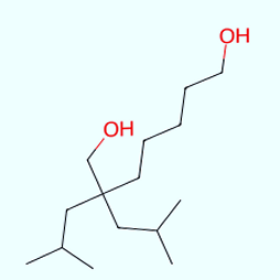 CC(C)CC(CO)(CCCCCO)CC(C)C